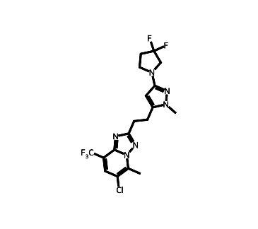 Cc1c(Cl)cc(C(F)(F)F)c2nc(CCc3cc(N4CCC(F)(F)C4)nn3C)nn12